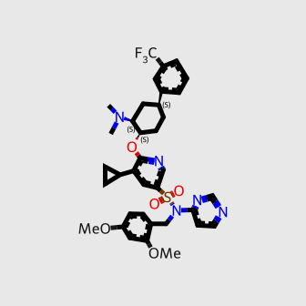 COc1ccc(CN(c2ccncn2)S(=O)(=O)c2cnc(O[C@H]3CC[C@H](c4cccc(C(F)(F)F)c4)C[C@@H]3N(C)C)c(C3CC3)c2)c(OC)c1